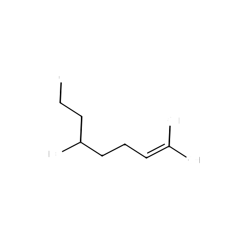 CC(C)=CCCC(C)CCCl